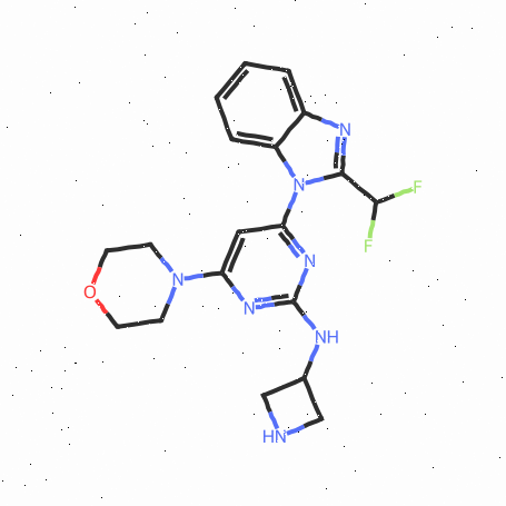 FC(F)c1nc2ccccc2n1-c1cc(N2CCOCC2)nc(NC2CNC2)n1